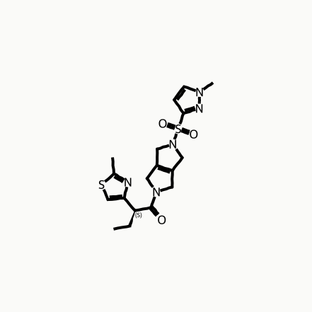 CC[C@H](C(=O)N1CC2=C(C1)CN(S(=O)(=O)c1ccn(C)n1)C2)c1csc(C)n1